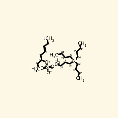 CCC=CCC(CC)OS(=O)(=O)[O-].CCCC[N+](CCCC)(CCCC)CCCC